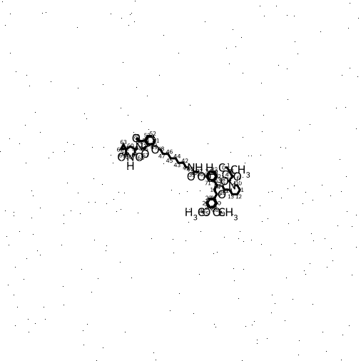 CCC(C)(C)C(=O)C(=O)N1CCCCC1C(=O)C[C@H](CCc1ccc(OC)c(OC)c1)c1cccc(OCC(=O)NCCCCCCCCOc2cccc3c2C(=O)N(C2CC4(CC4)C(=O)NC2=O)C3=O)c1